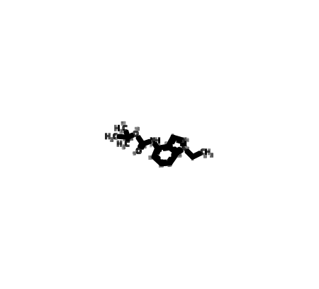 CCn1ncc2c(NC(=O)OC(C)(C)C)cccc21